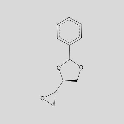 c1ccc(C2OC[C@@H]([C@@H]3CO3)O2)cc1